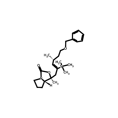 C[C@@H](/C=C(/C[C@]1(C)OC(=O)N2CCC[C@H]21)[Si](C)(C)C)CCOCc1ccccc1